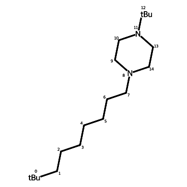 CC(C)(C)CCCCCCCN1CCN(C(C)(C)C)CC1